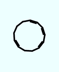 [C]1=CCCCC=CCCC=CC=C1